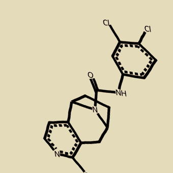 O=C(Nc1ccc(Cl)c(Cl)c1)N1C2CCC1c1ccnc(Br)c1C2